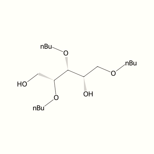 CCCCOC[C@H](O)[C@@H](OCCCC)[C@@H](CO)OCCCC